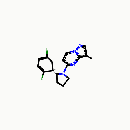 Cc1cnn2ccc(N3CCCC3[C@H]3CC(F)=CC=C3F)nc12